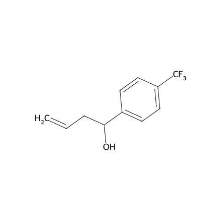 C=CCC(O)c1ccc(C(F)(F)F)cc1